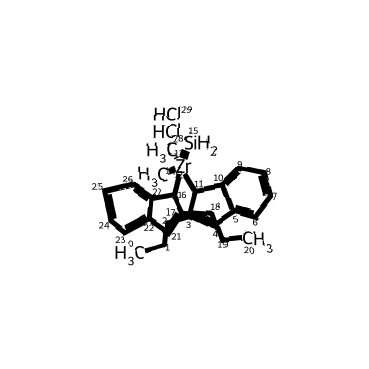 CCCC1=Cc2ccccc2[CH]1[Zr]([CH3])([CH3])(=[SiH2])[CH]1C(CCC)=Cc2ccccc21.Cl.Cl